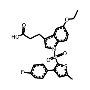 CCOc1ccc2c(c1)c(CCC(=O)O)cn2S(=O)(=O)c1sc(C)cc1-c1ccc(F)cc1